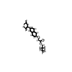 CC(C)=CC(=C(C)C)c1ccc2cc(OCC(=O)OCC(F)(F)C(F)(F)F)ccc2c1